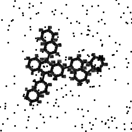 c1ccc2cc(-c3c4ccccc4c(-c4ccc5ccccc5c4)c4cc(-c5ccc6c7c(cccc57)-c5ncncc5-6)ccc34)ccc2c1